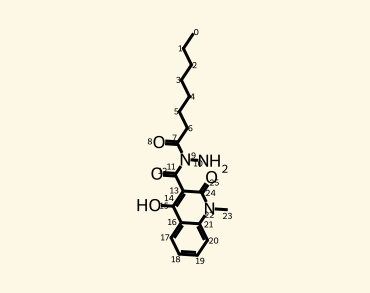 CCCCCCCC(=O)N(N)C(=O)c1c(O)c2ccccc2n(C)c1=O